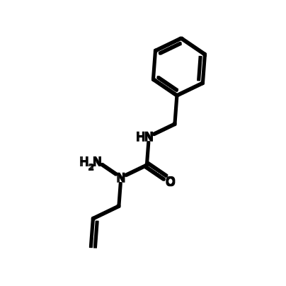 C=CCN(N)C(=O)NCc1ccccc1